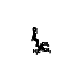 C[Si](C)(C)CCN=C=O